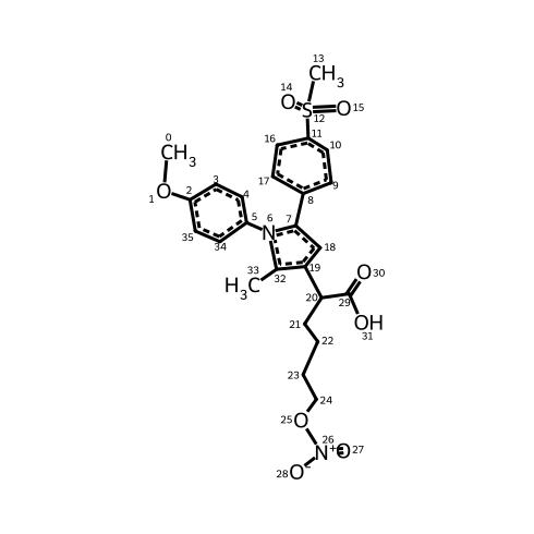 COc1ccc(-n2c(-c3ccc(S(C)(=O)=O)cc3)cc(C(CCCCO[N+](=O)[O-])C(=O)O)c2C)cc1